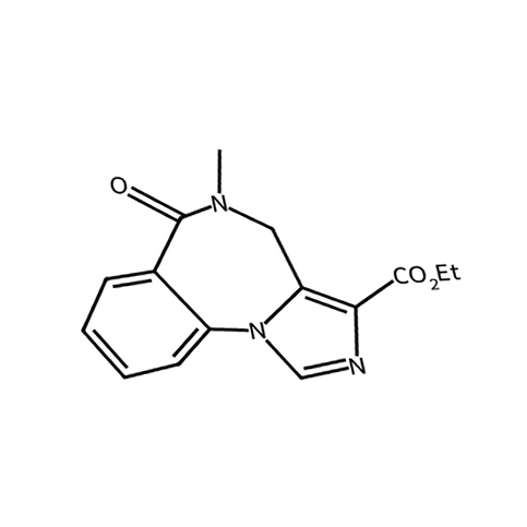 CCOC(=O)c1ncn2c1CN(C)C(=O)c1ccccc1-2